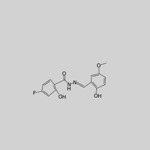 COc1ccc(O)c(C=NNC(=O)c2ccc(F)cc2O)c1